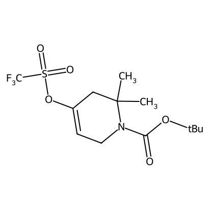 CC(C)(C)OC(=O)N1CC=C(OS(=O)(=O)C(F)(F)F)CC1(C)C